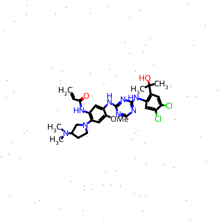 C=CC(=O)Nc1cc(Nc2ncnc(Nc3cc(Cl)c(Cl)cc3C(C)(C)O)n2)c(OC)cc1N1CCC(N(C)C)C1